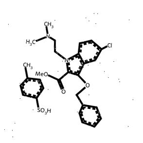 COC(=O)c1c(OCc2ccccc2)c2cc(Cl)ccc2n1CCN(C)C.Cc1ccc(S(=O)(=O)O)cc1